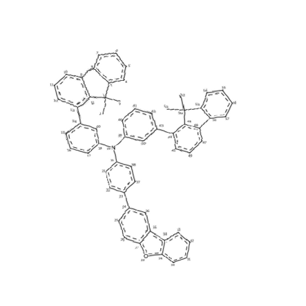 CC1(C)c2ccccc2-c2cccc(-c3cccc(N(c4ccc(-c5ccc6oc7ccccc7c6c5)cc4)c4cccc(-c5cccc6c5C(C)(C)c5ccccc5-6)c4)c3)c21